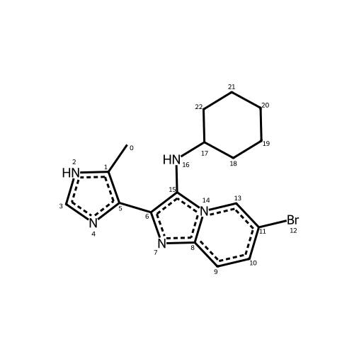 Cc1[nH]cnc1-c1nc2ccc(Br)cn2c1NC1CCCCC1